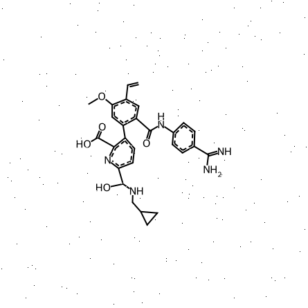 C=Cc1cc(C(=O)Nc2ccc(C(=N)N)cc2)c(-c2ccc(C(O)NCC3CC3)nc2C(=O)O)cc1OC